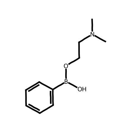 CN(C)CCOB(O)c1ccccc1